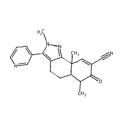 CC1C(=O)C(C#N)=CC2(C)c3nn(C)c(-c4cccnc4)c3CCC12